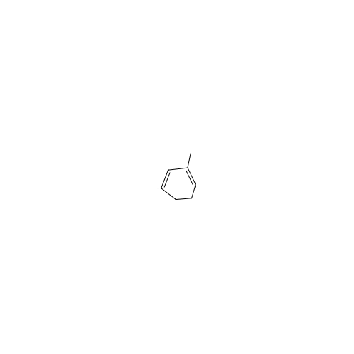 CC1=CCC[C]=C1